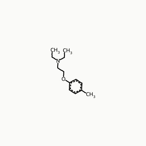 CCN(CC)CCOc1ccc(C)cc1